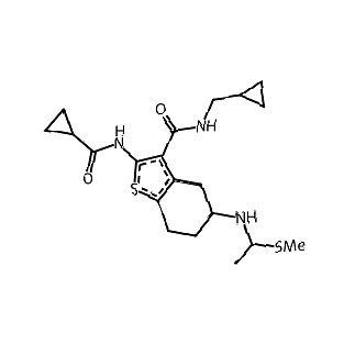 CSC(C)NC1CCc2sc(NC(=O)C3CC3)c(C(=O)NCC3CC3)c2C1